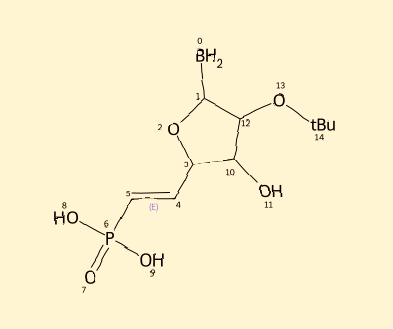 BC1OC(/C=C/P(=O)(O)O)C(O)C1OC(C)(C)C